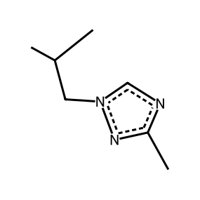 Cc1ncn(CC(C)C)n1